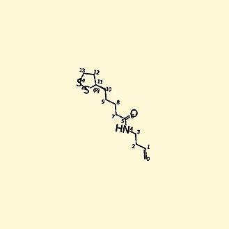 C=CCCNC(=O)CCCC[C@@H]1CCSS1